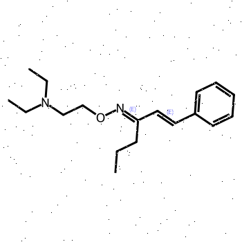 CCCC(/C=C/c1ccccc1)=N\OCCN(CC)CC